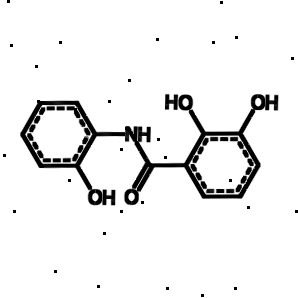 O=C(Nc1ccccc1O)c1cccc(O)c1O